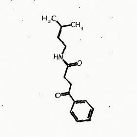 CC(C)CCNC(=O)CCC(=O)c1ccccc1